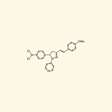 CCN(CC)c1ccc(C2CC(C=Cc3ccc(OC)cc3)=NN2c2ccccc2)cc1